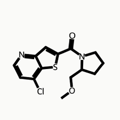 COCC1CCCN1C(=O)c1cc2nccc(Cl)c2s1